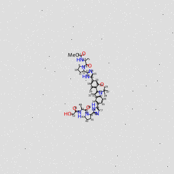 COC(=O)NC(C)C(=O)N1CCCC1c1ncc(-c2cc(C)c3c(c2)OCC(C)(C)n2c-3c(C)c3cc(-c4cnc(C5CCCN5C(=O)C(C)NC(=O)CO)[nH]4)ccc32)[nH]1